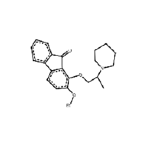 CCOc1ccc2c(c1OCC(C)N1CCCCC1)C(=O)c1ccccc1-2